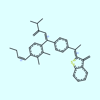 C=C(/C=C(/c1ccc(/C(C)=c2\sc3ccccc3c2=C)cc1)c1ccc(/C=C\CC)c(C)c1C)C(C)C